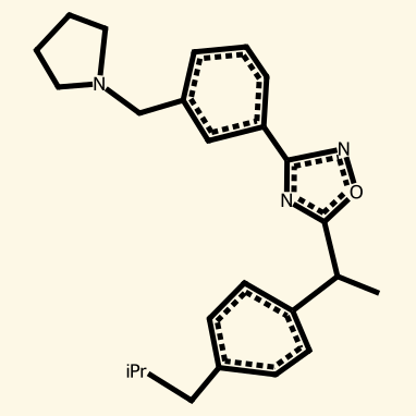 CC(C)Cc1ccc(C(C)c2nc(-c3cccc(CN4CCCC4)c3)no2)cc1